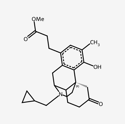 COC(=O)CCc1cc(C)c(O)c2c1CC1C3CCC(=O)C[C@@]23CCN1CC1CC1